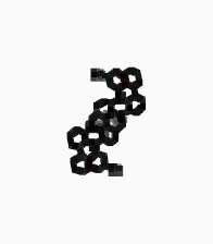 CCc1cccc(N(c2c(C)cccc2-c2ccccc2)c2ccc3ccc4c(N(c5cccc(CC)c5)c5c(C)cccc5-c5ccccc5)ccc5ccc2c3c54)c1